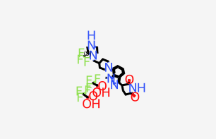 Cn1nc(C2CCC(=O)NC2=O)c2cccc(N3CCC(CN4CCNC[C@H]4C(F)(F)F)CC3)c21.O=C(O)C(F)(F)F.O=C(O)C(F)(F)F